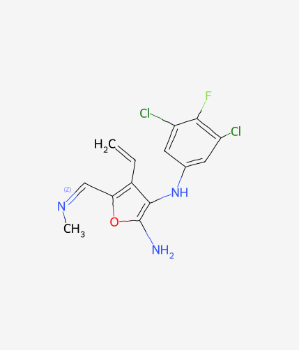 C=Cc1c(/C=N\C)oc(N)c1Nc1cc(Cl)c(F)c(Cl)c1